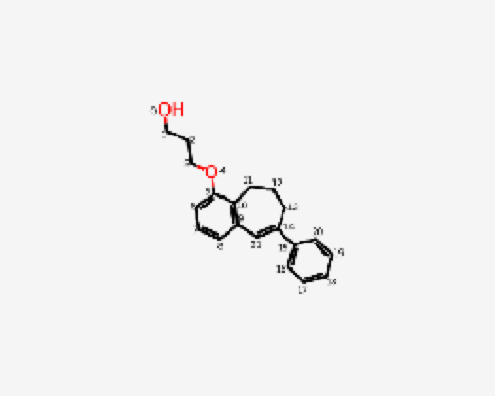 OCCCOc1cccc2c1CCCC(c1ccccc1)=C2